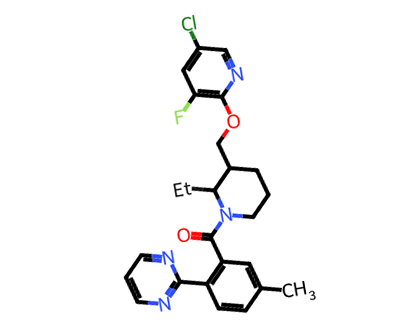 CCC1C(COc2ncc(Cl)cc2F)CCCN1C(=O)c1cc(C)ccc1-c1ncccn1